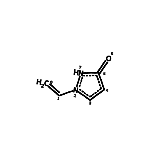 C=Cn1ccc(=O)[nH]1